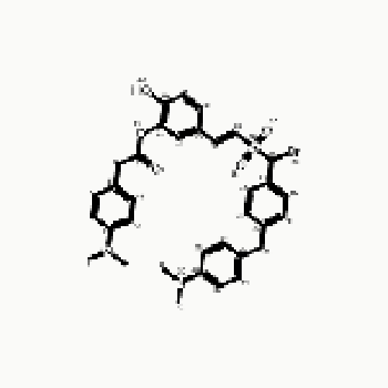 CN(C)c1ccc(CC(=O)Oc2cc(/C=C/S(=O)(=O)C(Br)c3ccc(Cc4ccc(N(C)C)cc4)cc3)ccc2O)cc1